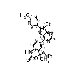 CCn1c(-c2cnc(C)nc2)nc2c(-c3ccc4c(c3)[C@](C)(CC(C)C)OC(=O)N4)ncnc21